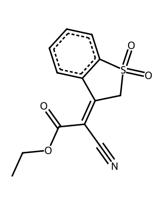 CCOC(=O)C(C#N)=C1CS(=O)(=O)c2ccccc21